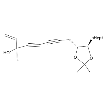 C=C[C@](C)(O)C#CC#CC[C@H]1OC(C)(C)O[C@@H]1CCCCCCC